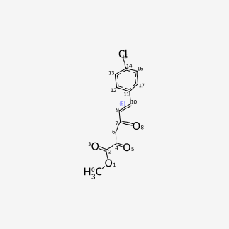 COC(=O)C(=O)CC(=O)/C=C/c1ccc(Cl)cc1